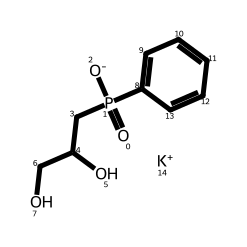 O=P([O-])(CC(O)CO)c1ccccc1.[K+]